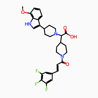 COc1cccc2c(C3CCN(C(C(=O)O)C4CCN(C(=O)C=Cc5cc(F)c(F)c(F)c5)CC4)CC3)c[nH]c12